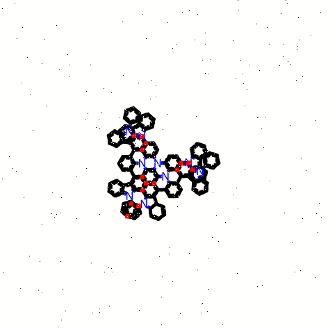 C1=CC2c3c(-c4cccc(-c5cccc6c5c5ccccc5n6-c5ccccc5)c4N4c5cc(-n6c7c(c8ccccc86)C=CCC7)ccc5N5c6ccc(-n7c8ccccc8c8ccccc87)cc6N(c6c(-c7cccc8c7c7ccccc7n8-c7ccccc7)cccc6-c6cccc7c6c6ccccc6n7-c6ccccc6)c6cccc4c65)cccc3N(c3ccccc3)C2C=C1